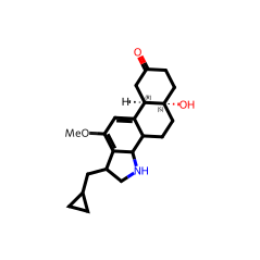 COC1=C2C(CC3CC3)CNC2C2CC[C@]3(O)CCC(=O)C[C@@H]3C2=C1